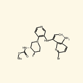 CC=C(Nc1cnccc1N1CC[C@@H](F)[C@H](NC(=O)OC(C)(C)C)C1)c1nc(Br)ccc1N